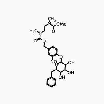 COC(=O)N(C)CCN(C)C(=O)OCc1ccc(OC2OC(Cc3ccccc3)C(O)C(O)C2O)c([N+](=O)[O-])c1